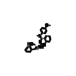 COc1ccc(N(C)c2nc(N[C@@H](CO)Cc3ccccc3)nc3ccccc23)cc1